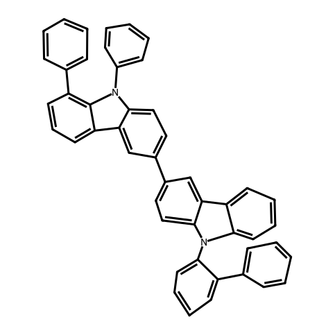 c1ccc(-c2ccccc2-n2c3ccccc3c3cc(-c4ccc5c(c4)c4cccc(-c6ccccc6)c4n5-c4ccccc4)ccc32)cc1